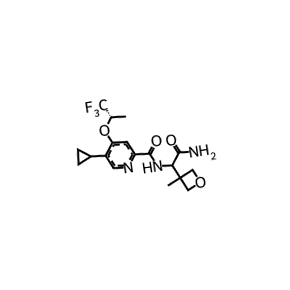 C[C@H](Oc1cc(C(=O)NC(C(N)=O)C2(C)COC2)ncc1C1CC1)C(F)(F)F